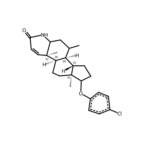 CC1CC2NC(=O)C=C[C@]2(C)[C@@H]2CC[C@]3(C)C(Oc4ccc(Cl)cc4)CC[C@H]3[C@H]12